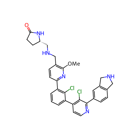 COc1nc(-c2cccc(-c3ccnc(-c4ccc5c(c4)CNC5)c3Cl)c2Cl)ccc1CNC[C@@H]1CCC(=O)N1